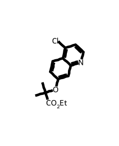 CCOC(=O)C(C)(C)Oc1ccc2c(Cl)ccnc2c1